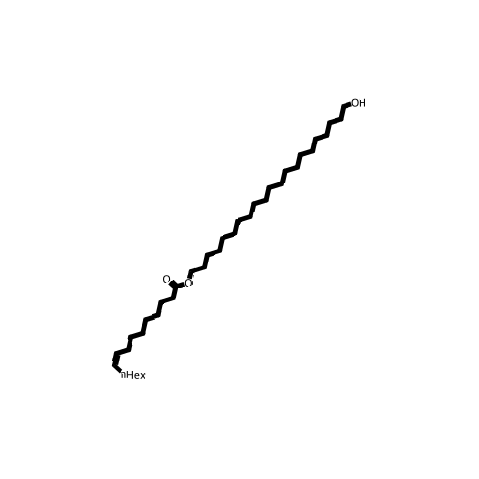 CCCCCC/C=C\CCCCCCCC(=O)OCCCCCCCCCCCCCCCCCCCCCO